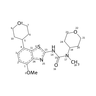 COc1ccc(C2CCOCC2)c2sc(NC(=O)N(C)C3CCOCC3)nc12